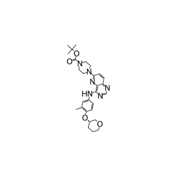 Cc1cc(Nc2ncnc3ccc(N4CCN(C(=O)OC(C)(C)C)CC4)nc23)ccc1O[C@@H]1CCCOC1